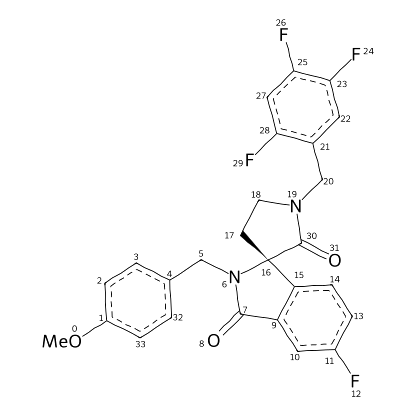 COc1ccc(CN2C(=O)c3cc(F)ccc3[C@]23CCN(Cc2cc(F)c(F)cc2F)C3=O)cc1